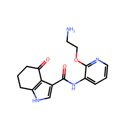 NCCOc1ncccc1NC(=O)c1c[nH]c2c1C(=O)CCC2